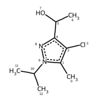 Cc1c(Cl)c(C(C)O)nn1C(C)C